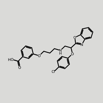 O=C(O)c1cccc(OCCCNCC(Oc2ccc(Cl)cc2)c2nc3ccccc3o2)c1